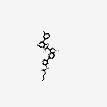 CCCCC(=O)Nc1cncc(-c2ccc3[nH]nc(-c4nc5c(-c6cccc(C)c6)cncc5[nH]4)c3n2)c1